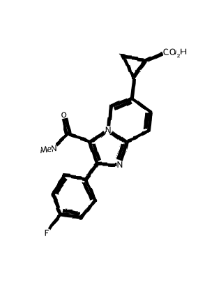 CNC(=O)c1c(-c2ccc(F)cc2)nc2ccc(C3CC3C(=O)O)cn12